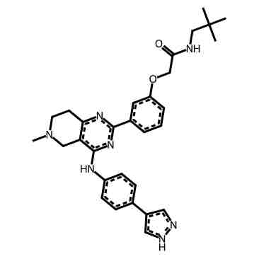 CN1CCc2nc(-c3cccc(OCC(=O)NCC(C)(C)C)c3)nc(Nc3ccc(-c4cn[nH]c4)cc3)c2C1